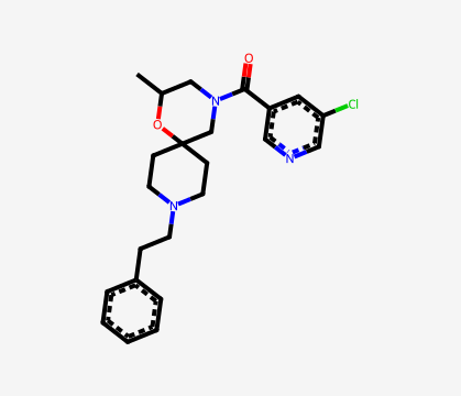 CC1CN(C(=O)c2cncc(Cl)c2)CC2(CCN(CCc3ccccc3)CC2)O1